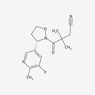 Cc1ncc([C@@H]2CCON2C(=O)C(C)(C)CC#N)cc1F